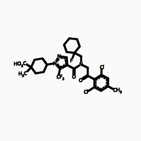 Cc1cc(Cl)c(C(=O)CN(CC2(F)CCCCC2)C(=O)c2cnn(C3CCC(C)(C(=O)O)CC3)c2C(F)(F)F)c(Cl)c1